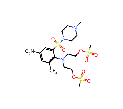 CN1CCN(S(=O)(=O)c2cc([N+](=O)[O-])cc(C(F)(F)F)c2N(CCOS(C)(=O)=O)CCOS(C)(=O)=O)CC1